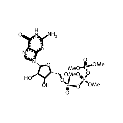 COP(=O)(OC)OP(=O)(OC)OP(=O)(OC)OC[C@H]1O[C@@H](n2cnc3c(=O)[nH]c(N)nc32)[C@H](O)[C@@H]1O